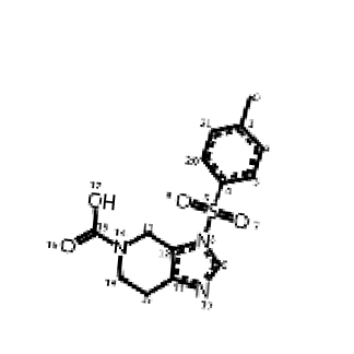 Cc1ccc(S(=O)(=O)n2cnc3c2CN(C(=O)O)CC3)cc1